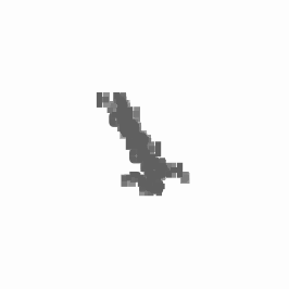 CCCN(CCC)C(=O)C1=Cc2sc(C(=O)Nc3ccc(N4CCC(C(=O)NCCN)CC4)nc3)cc2N=C(N)C1